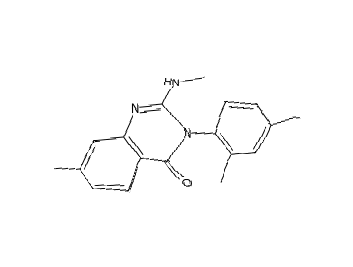 CNc1nc2cc(C)ccc2c(=O)n1-c1ccc(C)cc1C